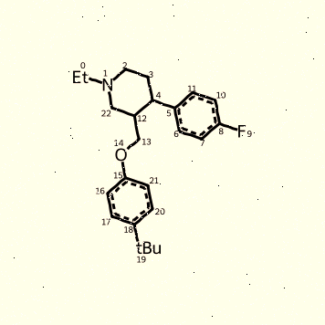 CCN1CCC(c2ccc(F)cc2)C(COc2ccc(C(C)(C)C)cc2)C1